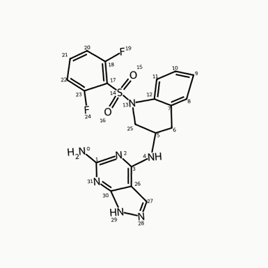 Nc1nc(NC2Cc3ccccc3N(S(=O)(=O)c3c(F)cccc3F)C2)c2cn[nH]c2n1